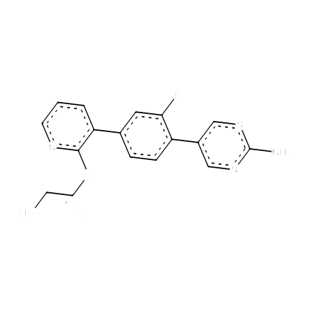 C[C@H](CO)Oc1ncccc1-c1ccc(-c2cnc(N)nc2)c(F)c1